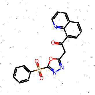 O=C(Cc1nnc(S(=O)(=O)c2ccccc2)o1)c1cccc2cccnc12